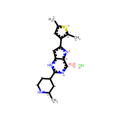 Cc1cc(-c2cc3[nH]c(C4CCNC(C)C4)ncc-3n2)c(C)s1.Cl.O